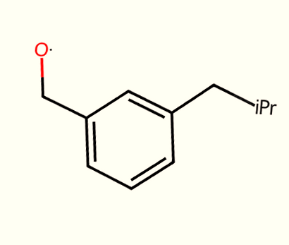 CC(C)Cc1cccc(C[O])c1